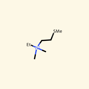 CC[N+](C)(C)CCSC